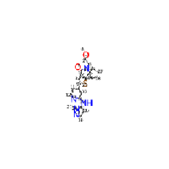 COCCN1C(=O)c2cc(-c3ccnc(Nc4ccnn4C)c3)sc2C12CCCC2